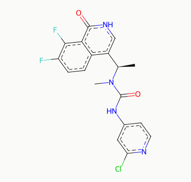 C[C@H](c1c[nH]c(=O)c2c(F)c(F)ccc12)N(C)C(=O)Nc1ccnc(Cl)c1